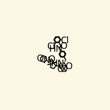 COC(=O)[C@H](Cc1ccc(NC(=O)c2c(Cl)cccc2Cl)cc1)NC(=O)C1CCC(C)(C(=O)N2CCOCC2)C1(C)C